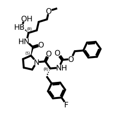 COCCC[C@@H](BO)NC(=O)[C@@H]1CCCN1C(=O)[C@@H](Cc1ccc(F)cc1)NC(=O)OCc1ccccc1